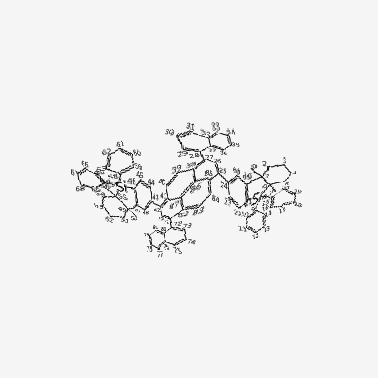 CC12CCCCC1(C)[Si](c1ccccc1)(c1ccccc1)c1ccc(-c3cc(-c4cccc5ccccc45)c4ccc5c(-c6ccc7c(c6)C6(C)CCCCC6(C)[Si]7(c6ccccc6)c6ccccc6)cc(-c6cccc7ccccc67)c6ccc3c4c56)cc12